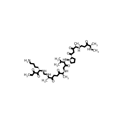 C=CC(=O)C(=O)[C@H](CCCCN)NCN[C@@H](C)C(=O)CCC(=O)[C@H](C)NCC(=O)[C@@H](NN1CCC[C@H]1C(=O)CC(=O)[C@H](C)NCCC(=O)[C@H](C)NC)C(C)C